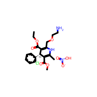 CCOC(=O)C1=C(COCCN)NC(C)=C(C(=O)OC)[C@@H]1c1ccccc1Cl.O=[N+]([O-])O